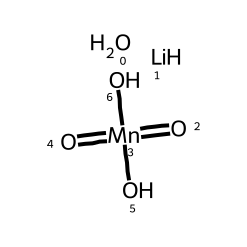 O.[LiH].[O]=[Mn](=[O])([OH])[OH]